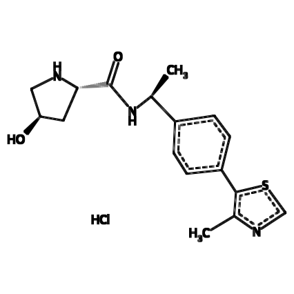 Cc1ncsc1-c1ccc([C@H](C)NC(=O)[C@@H]2C[C@@H](O)CN2)cc1.Cl